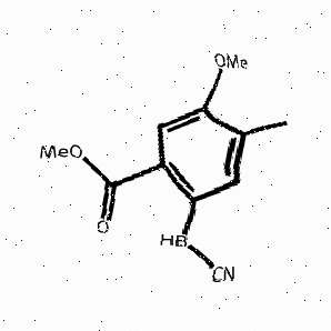 COC(=O)c1cc(OC)c(C)cc1BC#N